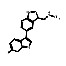 CNCC1SNc2ccc(C3=CN=C4CC(F)=CC=C34)cc21